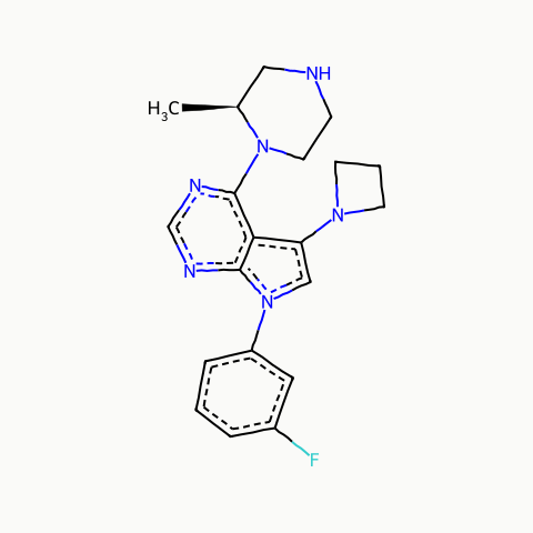 C[C@H]1CNCCN1c1ncnc2c1c(N1CCC1)cn2-c1cccc(F)c1